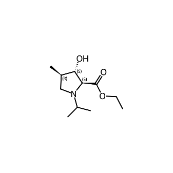 CCOC(=O)[C@@H]1[C@@H](O)[C@H](C)CN1C(C)C